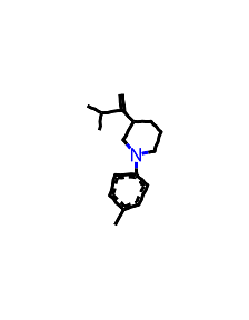 C=C(C(C)C)C1CCCN(c2ccc(C)cc2)C1